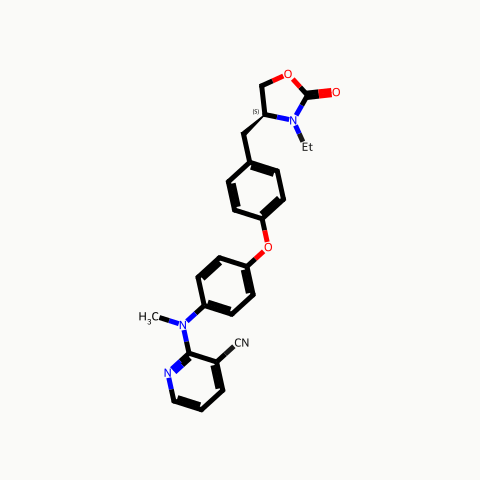 CCN1C(=O)OC[C@@H]1Cc1ccc(Oc2ccc(N(C)c3ncccc3C#N)cc2)cc1